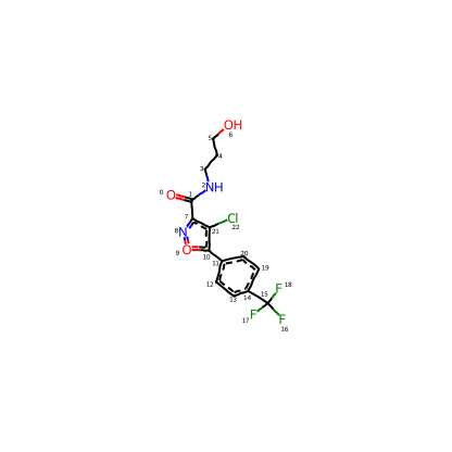 O=C(NCCCO)c1noc(-c2ccc(C(F)(F)F)cc2)c1Cl